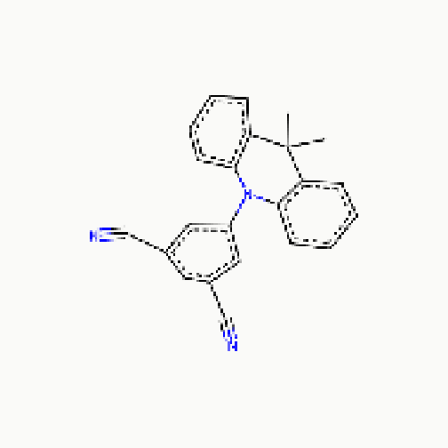 CC1(C)c2ccccc2N(c2cc(C#N)cc(C#N)c2)c2ccccc21